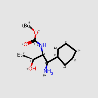 CC[C@H](O)[C@@H](NC(=O)OC(C)(C)C)C(N)C1CCCCC1